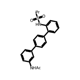 CC(=O)Nc1cccc(-c2ccc(-c3ccccc3NS(=O)(=O)C(C)C)cc2)c1